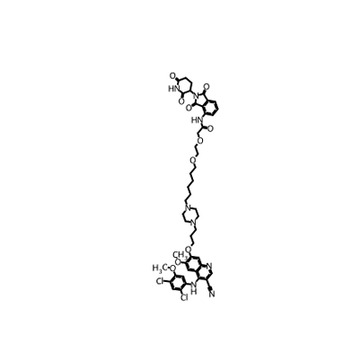 COc1cc(Nc2c(C#N)cnc3cc(OCCCN4CCN(CCCCCCOCCOCC(=O)Nc5cccc6c5C(=O)N(C5CCC(=O)NC5=O)C6=O)CC4)c(OC)cc23)c(Cl)cc1Cl